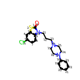 O=c1sc2cc(Cl)ccc2n1CCCN1CCN(c2ccccc2)CC1